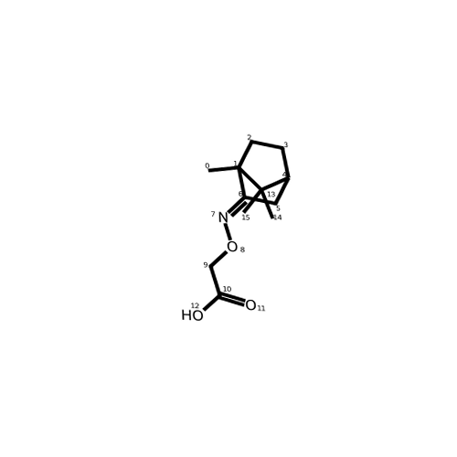 CC12CCC(C/C1=N\OCC(=O)O)C2(C)C